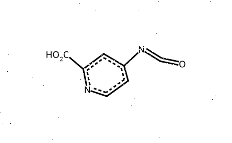 O=C=Nc1ccnc(C(=O)O)c1